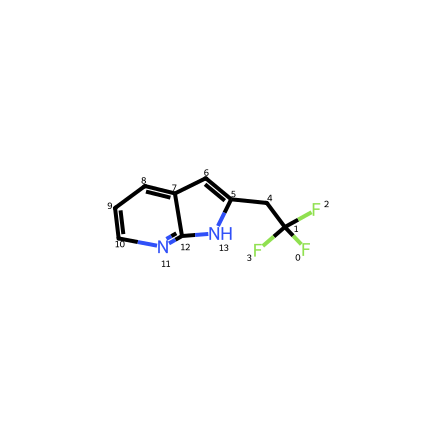 FC(F)(F)Cc1cc2cccnc2[nH]1